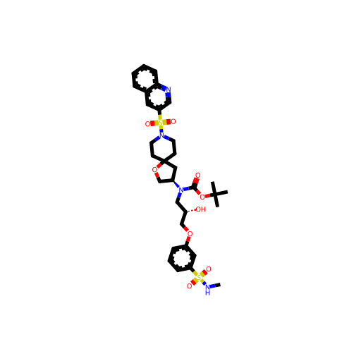 CNS(=O)(=O)c1cccc(OC[C@@H](O)CN(C(=O)OC(C)(C)C)[C@H]2COC3(CCN(S(=O)(=O)c4cnc5ccccc5c4)CC3)C2)c1